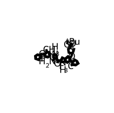 Cc1cc(N2NCC(C(=O)c3cc4cc(OC5CCN(C(=O)OC(C)(C)C)CC5)c(-c5ccccc5C(F)(F)F)cc4[nH]3)=C2N)ccc1Oc1ccccc1F